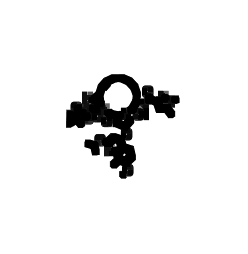 COc1ccc2c(O[C@@H]3C[C@H]4C(=O)N[C@]5(C(=O)NS(=O)(=O)C6(C)CC6)CC5/C=C\CCCCC[C@H](NC(=O)c5cc(C)n(C)n5)C(=O)N4C3)cc(OC(C)C)nc2c1C